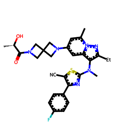 CCc1nn2c(C)cc(N3CC4(CN(C(=O)[C@H](C)O)C4)C3)cc2c1N(C)c1nc(-c2ccc(F)cc2)c(C#N)s1